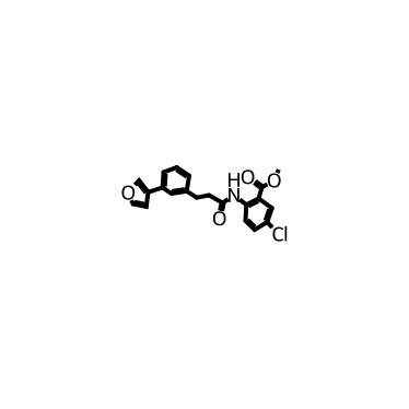 COC(=O)c1cc(Cl)ccc1NC(=O)CCc1cccc(-c2ccoc2)c1